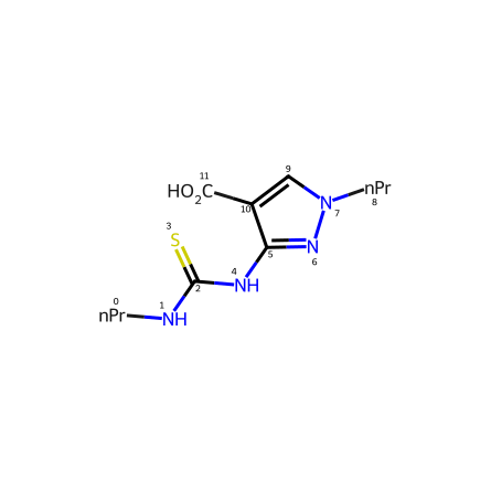 CCCNC(=S)Nc1nn(CCC)cc1C(=O)O